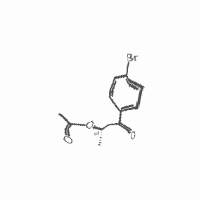 CC(=O)O[C@@H](C)C(=O)c1ccc(Br)cc1